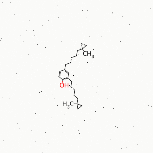 CC1(CCCCCc2ccc(O)c(CCCCCC3(C)CC3)c2)CC1